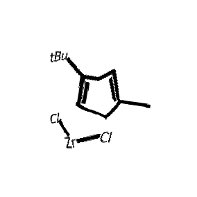 CC1=CC(C(C)(C)C)=C[CH]1.[Cl][Zr][Cl]